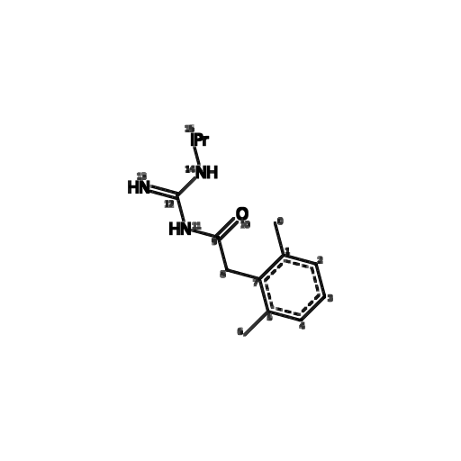 Cc1cccc(C)c1CC(=O)NC(=N)NC(C)C